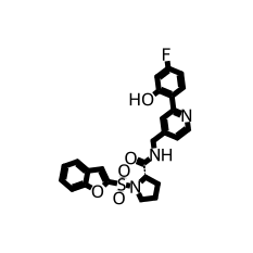 O=C(NCc1ccnc(-c2ccc(F)cc2O)c1)[C@@H]1CCCN1S(=O)(=O)c1cc2ccccc2o1